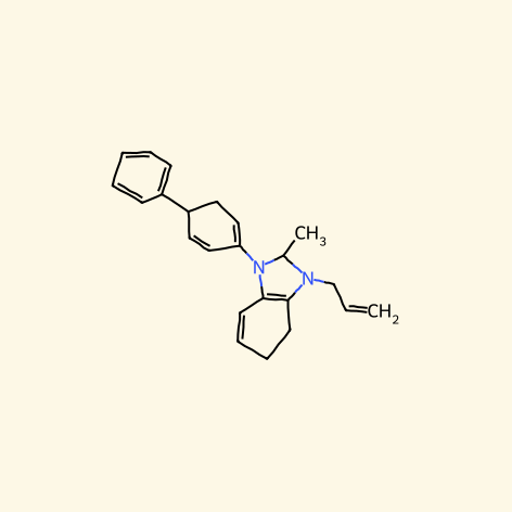 C=CCN1C2=C(C=CCC2)N(C2=CCC(c3ccccc3)C=C2)C1C